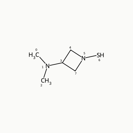 CN(C)C1CN(S)C1